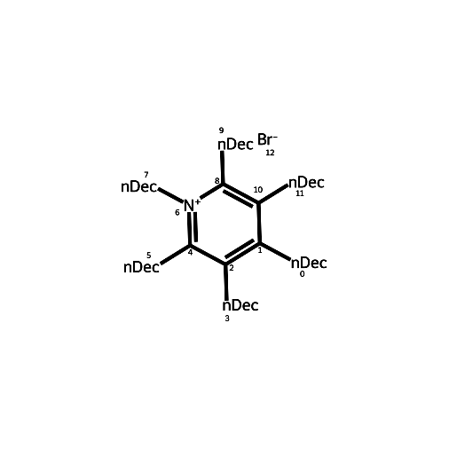 CCCCCCCCCCc1c(CCCCCCCCCC)c(CCCCCCCCCC)[n+](CCCCCCCCCC)c(CCCCCCCCCC)c1CCCCCCCCCC.[Br-]